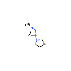 CCCN1CC(N2CCCC2)C1